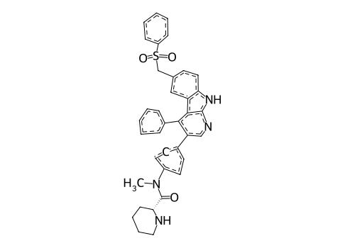 CN(C(=O)[C@H]1CCCCN1)c1ccc(-c2cnc3[nH]c4ccc(CS(=O)(=O)c5ccccc5)cc4c3c2-c2ccccc2)cc1